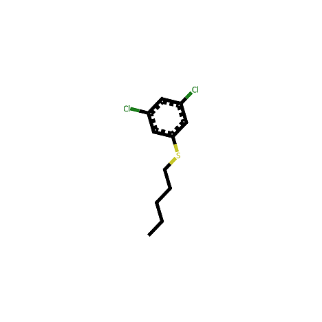 CCCCCSc1cc(Cl)[c]c(Cl)c1